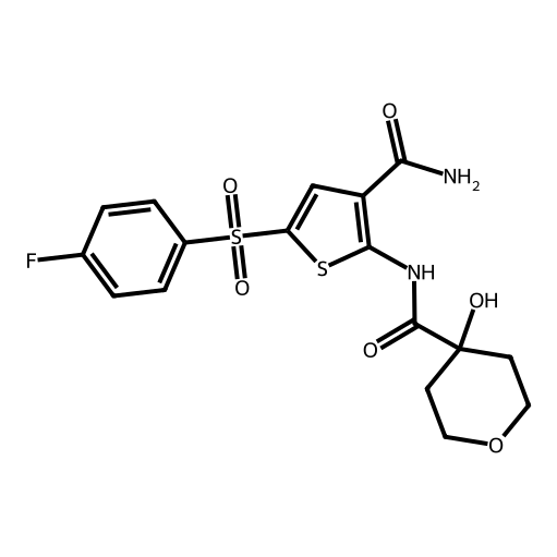 NC(=O)c1cc(S(=O)(=O)c2ccc(F)cc2)sc1NC(=O)C1(O)CCOCC1